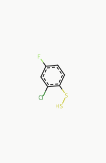 Fc1ccc(SS)c(Cl)c1